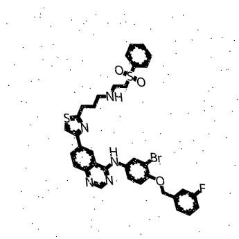 O=S(=O)(CCNCCCc1nc(-c2ccc3ncnc(Nc4ccc(OCc5cccc(F)c5)c(Br)c4)c3c2)cs1)c1ccccc1